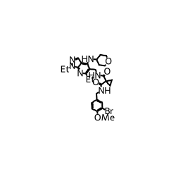 CCc1nc2c(cnn2CC)c(NC2CCOCC2)c1CNC(=O)C1(C(=O)NCc2ccc(OC)c(Br)c2)CC1